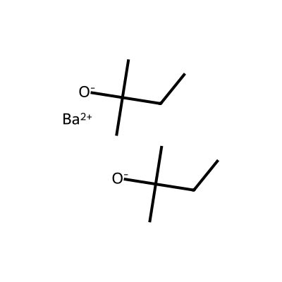 CCC(C)(C)[O-].CCC(C)(C)[O-].[Ba+2]